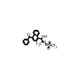 O=C(c1ccccc1)c1ccc(C(O)/C(=N/OS(=O)(=O)C(F)(F)F)C(F)(F)F)c2ccccc12